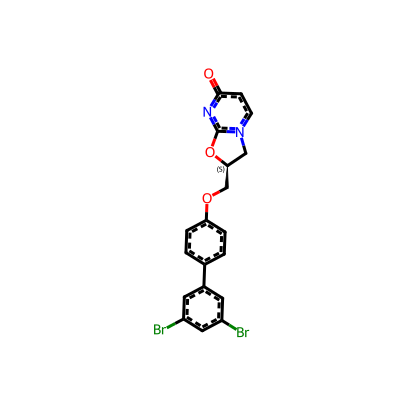 O=c1ccn2c(n1)O[C@H](COc1ccc(-c3cc(Br)cc(Br)c3)cc1)C2